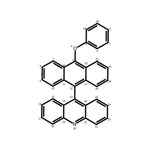 c1ccc(Oc2c3ccccc3c(-c3c4ccccc4nc4ccccc34)c3ccccc23)cc1